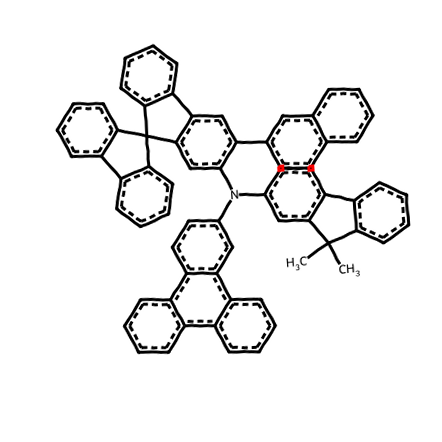 CC1(C)c2ccccc2-c2ccc(N(c3ccc4c5ccccc5c5ccccc5c4c3)c3cc4c(cc3-c3ccc5ccccc5c3)-c3ccccc3C43c4ccccc4-c4ccccc43)cc21